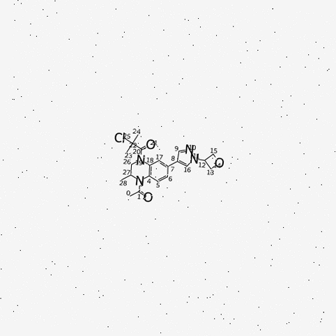 CC(=O)N1c2ccc(-c3cnn(C4COC4)c3)cc2N(C(=O)C(C)(C)Cl)CC1C